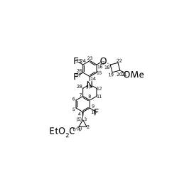 CCOC(=O)[C@H]1C[C@@H]1c1ccc2c(c1F)CCN(c1cc(O[C@H]3C[C@H](OC)C3)cc(F)c1F)C2